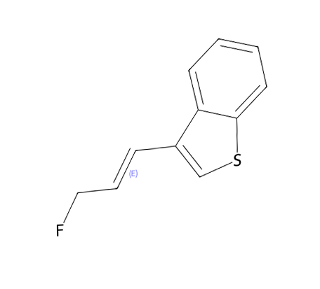 FC/C=C/c1csc2ccccc12